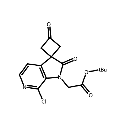 CC(C)(C)OC(=O)CN1C(=O)C2(CC(=O)C2)c2ccnc(Cl)c21